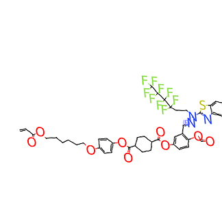 C=CC(=O)OCCCCCCOc1ccc(OC(=O)C2CCC(C(=O)Oc3ccc(OC=O)c(/C=N/N(CCC(F)(F)C(F)(F)C(F)(F)C(F)(F)F)c4nc5ccccc5s4)c3)CC2)cc1